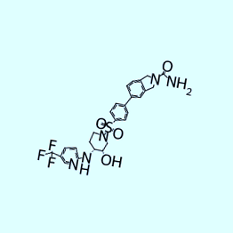 NC(=O)N1Cc2ccc(-c3ccc(S(=O)(=O)N4CC[C@@H](Nc5ccc(C(F)(F)F)cn5)[C@@H](O)C4)cc3)cc2C1